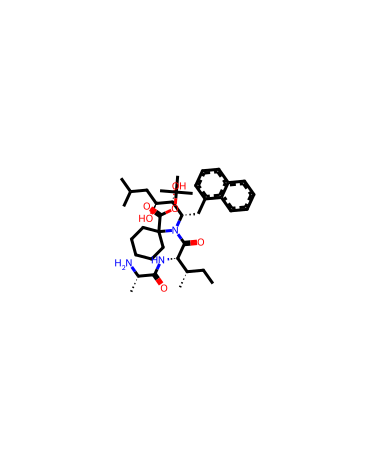 CC[C@H](C)[C@H](NC(=O)[C@H](C)N)C(=O)N([C@@H](Cc1cccc2ccccc12)[C@@H](O)[C@@H](O)CC(C)C)C1(C(=O)OC(C)(C)C)CCCCC1